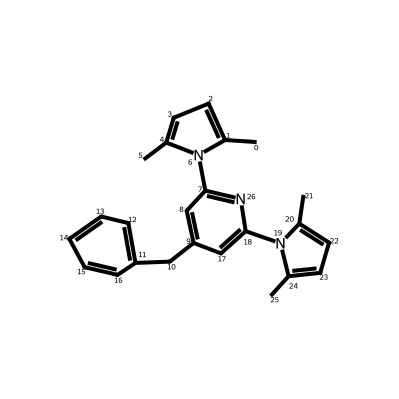 Cc1ccc(C)n1-c1cc(Cc2ccccc2)cc(-n2c(C)ccc2C)n1